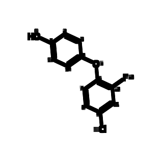 Oc1ccc(Oc2ccc(Cl)cc2F)cc1